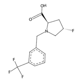 O=C(O)[C@H]1C[C@H](F)CN1Cc1cccc(C(F)(F)F)c1